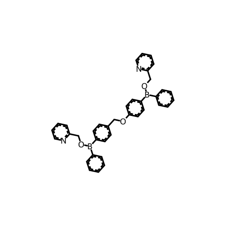 c1ccc(B(OCc2ccccn2)c2ccc(COc3ccc(B(OCc4ccccn4)c4ccccc4)cc3)cc2)cc1